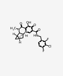 CN1C(=O)c2c(O)c(=O)c(C(=O)NCc3ccc(F)c(Cl)c3F)cn2[C@H]2C[C@@H]3C[C@@H]3C21